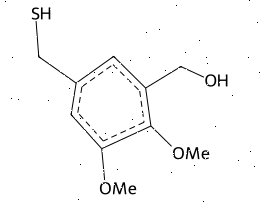 COc1cc(CS)cc(CO)c1OC